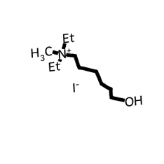 CC[N+](C)(CC)CCCCCCO.[I-]